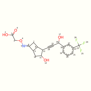 O=C(O)CON=C1CC2C1CC(O)C2C#CC(O)c1cccc(C(F)(F)F)c1